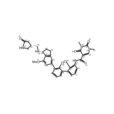 COc1nc(-c2cccc(-c3cccc(NC(=O)c4cn(C)c(=O)n(C)c4=O)c3Cl)c2Cl)cc2c1[C@H](NC[C@@H]1CNC(=O)C1)CC2